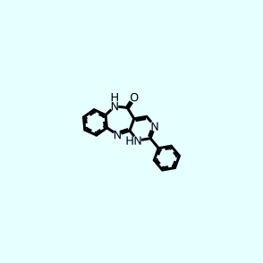 O=C1Nc2ccccc2N=C2NC(c3ccccc3)=NC=C12